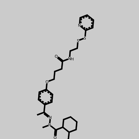 C/C(=N\N(C)C(=O)C1CCCCC1C(=O)O)c1ccc(OCCCC(=O)NCCSSc2ccccn2)cc1